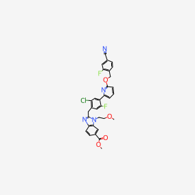 COCCn1c(Cc2cc(F)c(-c3cccc(OCc4ccc(C#N)cc4F)n3)cc2Cl)nc2ccc(C(=O)OC)cc21